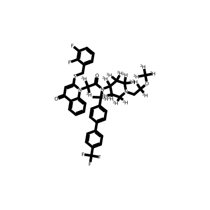 [2H]C([2H])([2H])OC([2H])([2H])CN1C([2H])([2H])C([2H])([2H])C([2H])(N(C(=O)C([2H])([2H])n2c(SCc3cccc(F)c3F)cc(=O)c3ccccc32)C([2H])(C)c2ccc(-c3ccc(C(F)(F)F)cc3)cc2)C([2H])([2H])C1([2H])[2H]